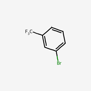 FC(F)(F)c1[c]ccc(Br)c1